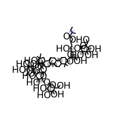 C/C=C(\C)C(=O)OCC[C@H](O)C(CO[C@@H]1OC(CO)[C@@H](O)C(O)[C@@H]1O)O[C@@H](O[C@H]1CC[C@@]2(C)C(CC[C@]3(C)C2CC=C2C4CC(C)(C)[C@@H](O)[C@H](O)[C@]4(CO[C@@H]4OC(CO[C@@H]5OC(CO)[C@@H](O)C(O)[C@@H]5O)[C@@H](O)C(O)[C@@H]4O[C@@H]4OC(C)[C@H](O)C(O)[C@@H]4O)CC[C@]23C)C1(C)C)[C@H](C)O